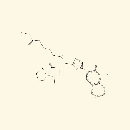 CCC(=O)CCCCC[C@H](NC(=O)C1(N(C)C)CCCC1)c1ncc(-c2cc3ccccc3n(C)c2=O)o1